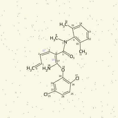 C=C/C=C\C(C(=O)N(C)c1c(C)cccc1C)=C(/N)Oc1cc(Cl)ccc1Cl